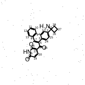 NC1(c2ccc(-c3c(-c4ccccc4)oc4[nH]c(=O)ccc4c3=O)cc2)CCC1